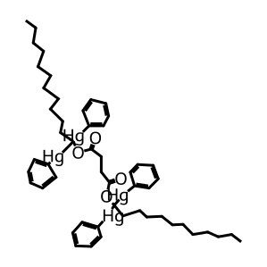 CCCCCCCCCCC[C](OC(=O)CCC(=O)O[C](CCCCCCCCCCC)([Hg][c]1ccccc1)[Hg][c]1ccccc1)([Hg][c]1ccccc1)[Hg][c]1ccccc1